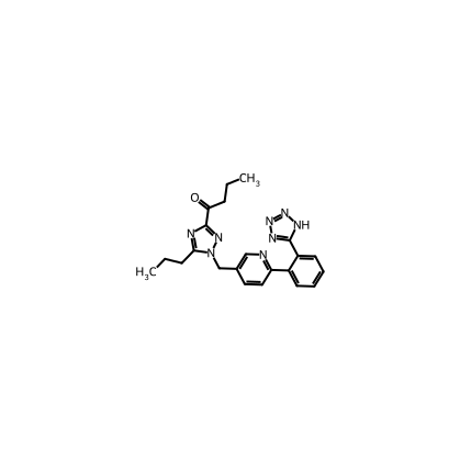 CCCC(=O)c1nc(CCC)n(Cc2ccc(-c3ccccc3-c3nnn[nH]3)nc2)n1